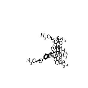 C=CCOc1ccc(CC(NC(=O)OC(C)(C)C)C(=O)NC(C(=O)NC(CSCC=C)C(=O)OC)C(C)C)cc1